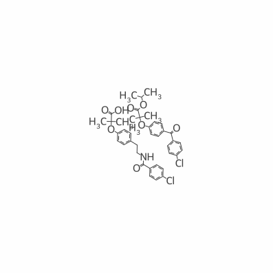 CC(C)(Oc1ccc(CCNC(=O)c2ccc(Cl)cc2)cc1)C(=O)O.CC(C)OC(=O)C(C)(C)Oc1ccc(C(=O)c2ccc(Cl)cc2)cc1